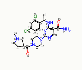 C[C@@H](Nc1nc(N2CCN(C(=O)[C@H]3CCN(C)C3)CC2)ncc1C(N)=O)c1ccc(Cl)cc1Cl